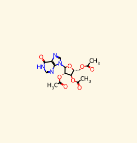 CC(=O)OC[C@H]1OC(n2cnc3c(=O)[nH]cnc32)[C@@H](OC(C)=O)[C@@H]1OC(C)=O